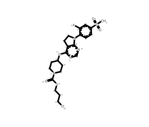 CS(=O)(=O)c1ccc(N2CCc3c(OC4CCN(C(=O)SCCCCl)CC4)ncnc32)c(F)c1